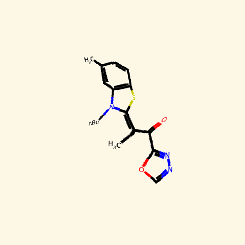 CCCCN1/C(=C(\C)C(=O)c2nnco2)Sc2ccc(C)cc21